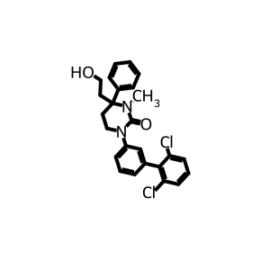 CN1C(=O)N(c2cccc(-c3c(Cl)cccc3Cl)c2)CCC1(CCO)c1ccccc1